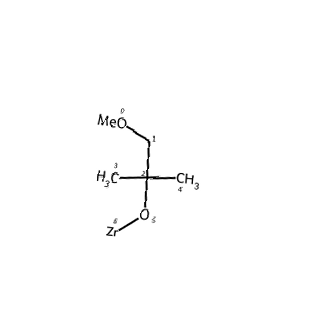 COCC(C)(C)[O][Zr]